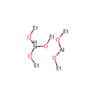 CCO[SiH](OCC)OCC.CC[O][Al][O]CC